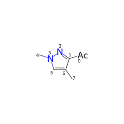 CC(=O)c1nn(C)cc1C